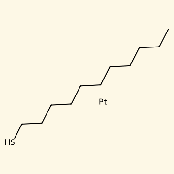 CCCCCCCCCCCS.[Pt]